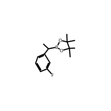 CC(B1OC(C)(C)C(C)(C)O1)c1cccc(F)c1